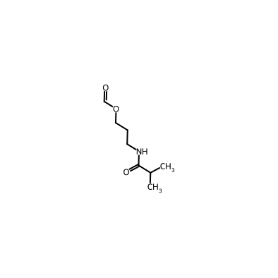 CC(C)C(=O)NCCCOC=O